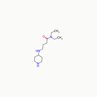 CCN(CC)C(=O)CCCNC1CCNCC1